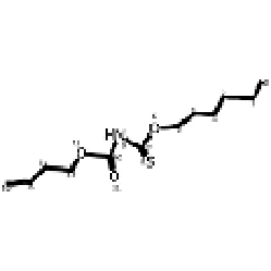 CCCCCCOC(=S)NC(=O)OCCCC